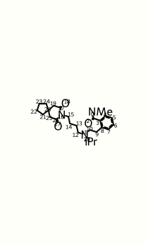 CNC(=O)c1ccccc1CCN(CCCCN1C(=O)CC2(CCCC2)CC1=O)C(C)C